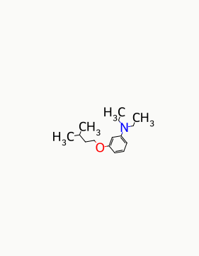 CCN(CC)c1cccc(OCCC(C)C)c1